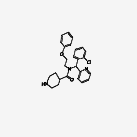 O=C(C1CCNCC1)N(CCOc1ccccc1)C(c1ccccn1)c1ccccc1Cl